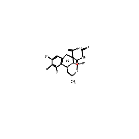 CC(C)C1O[C@H](C)CN2c3c(cc(Br)c(F)c3F)CC3(C(=O)NC(=O)NC3=O)[C@@H]12